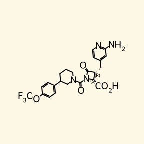 Nc1cc(C[C@H]2C(=O)N(C(=O)N3CCCC(c4ccc(OC(F)(F)F)cc4)C3)[C@@H]2C(=O)O)ccn1